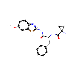 NC1(C(=O)N[C@@H](Cc2ccccc2)C(=O)Nc2nc3ccc(OC(F)(F)F)cc3s2)CC1